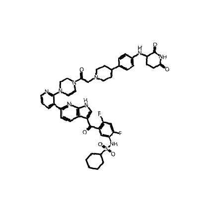 O=C1CCC(Nc2ccc(C3CCN(CC(=O)N4CCN(c5ncccc5-c5ccc6c(C(=O)c7cc(NS(=O)(=O)C8CCCCC8)c(F)cc7F)c[nH]c6n5)CC4)CC3)cc2)C(=O)N1